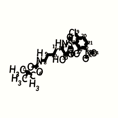 CC(C)(C)OC(=O)NCCCC[C@H](NS(=O)(=O)c1c(Cl)ccc([N+](=O)[O-])c1O)C(=O)O